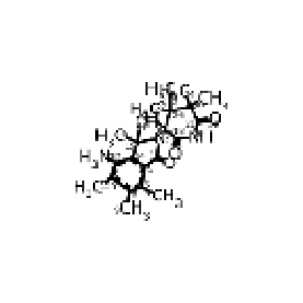 [2H][C@]1(N2C(=O)c3c(C)c(C)c(C)c(N)c3C2(C)C)C(=O)NC(=O)C(C)(C)C1(C)C